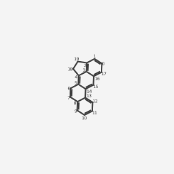 c1cc2c3c(c4ccc5ccccc5c4cc3c1)CC2